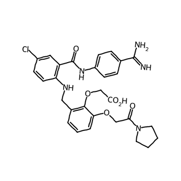 N=C(N)c1ccc(NC(=O)c2cc(Cl)ccc2NCc2cccc(OCC(=O)N3CCCC3)c2OCC(=O)O)cc1